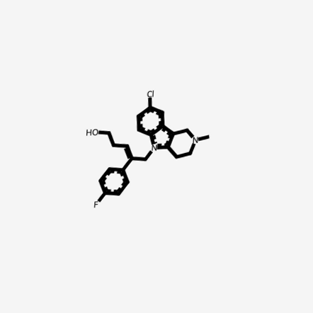 CN1CCc2c(c3cc(Cl)ccc3n2CC(=CCCO)c2ccc(F)cc2)C1